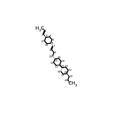 CC=C[C@H]1CC[C@H](C=CCC[C@H]2CC[C@H]([C@H]3CC[C@H](CCC)CC3)CC2)CC1